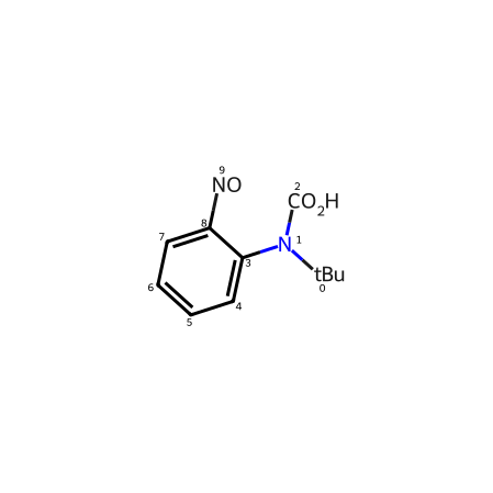 CC(C)(C)N(C(=O)O)c1ccccc1N=O